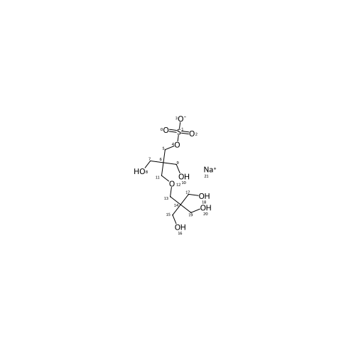 O=S(=O)([O-])OCC(CO)(CO)COCC(CO)(CO)CO.[Na+]